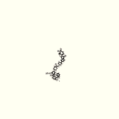 COc1cc(N2CCN(C(=O)CN3CCC(c4ccc5c(c4)CN(C4CCC(=O)NC4=O)C5=O)CC3)CC2)ccc1Nc1ncc(C(F)(F)F)c(Nc2ccccc2C(C)=O)n1